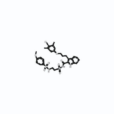 COc1ccc(S(=O)(=O)NCCS(=O)(=O)NC(=O)c2[nH]c3ccccc3c2CCCOc2cc(C)c(Cl)c(C)c2)cc1